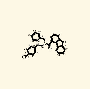 O=C(c1cccc2c1-c1ccccc1C2)N(CCc1ccc(Cl)cc1)Cc1ccccc1